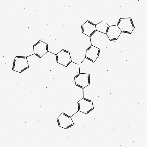 c1ccc(-c2cccc(-c3ccc(N(c4ccc(-c5cccc(-c6ccccc6)c5)cc4)c4cccc(-c5cccc6oc7c8ccccc8ccc7c56)c4)cc3)c2)cc1